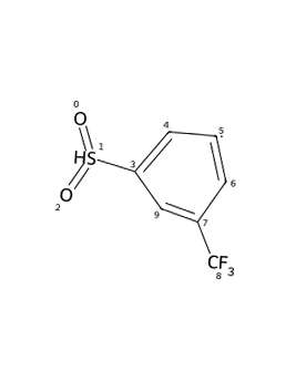 O=[SH](=O)c1c[c]cc(C(F)(F)F)c1